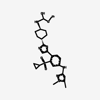 Cc1cc(Nc2ccc(-c3cnc([C@H]4CC[C@H](NC(O)OC(C)C)CC4)s3)c(S(=O)(=O)C3CC3)c2)nn1C